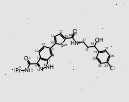 CC(C)NC(=O)c1n[nH]c2cc(-c3ccc(C(=O)NCCC(O)c4ccc(Cl)cc4)s3)ccc12